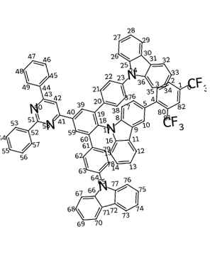 FC(F)(F)c1ccc(-c2ccc3c(c2)c2ccccc2n3-c2c(-c3ccc(-n4c5ccccc5c5ccccc54)cc3)cc(-c3cc(-c4ccccc4)nc(-c4ccccc4)n3)cc2-c2ccc(-n3c4ccccc4c4ccccc43)cc2)c(C(F)(F)F)c1